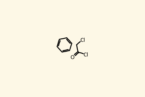 O=C(Cl)CCl.c1ccccc1